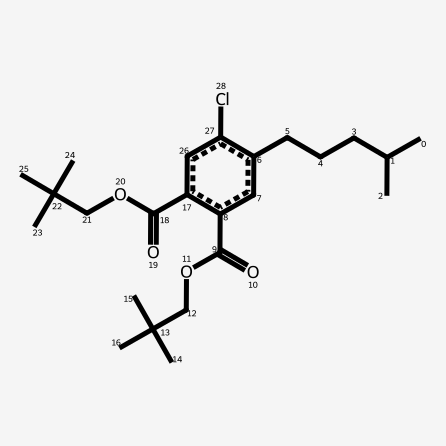 CC(C)CCCc1cc(C(=O)OCC(C)(C)C)c(C(=O)OCC(C)(C)C)cc1Cl